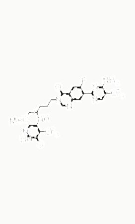 COC[C@@H](CCCn1cnc2cc(-c3ncc(C(F)(F)F)c(N)n3)c(F)cc2c1=O)Nc1cn[nH]c(=O)c1C(F)(F)F